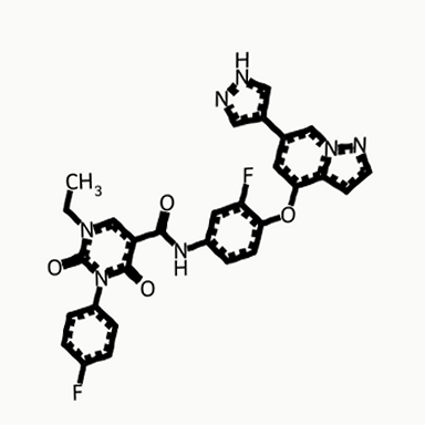 CCn1cc(C(=O)Nc2ccc(Oc3cc(-c4cn[nH]c4)cn4nccc34)c(F)c2)c(=O)n(-c2ccc(F)cc2)c1=O